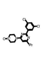 CC(C)c1cc(N2CC[S+]([O-])CC2)nc(-c2cc(Cl)cc(Cl)c2)n1